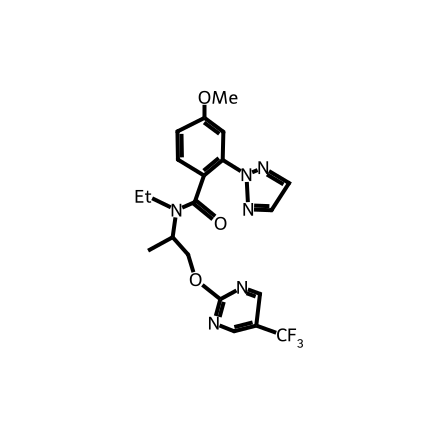 CCN(C(=O)c1ccc(OC)cc1-n1nccn1)C(C)COc1ncc(C(F)(F)F)cn1